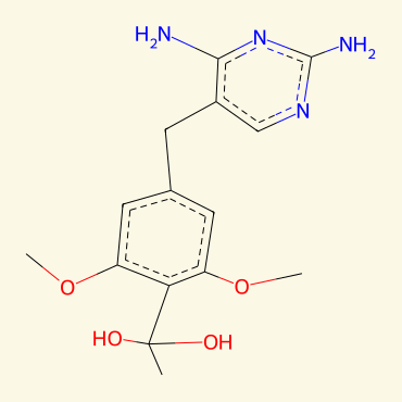 COc1cc(Cc2cnc(N)nc2N)cc(OC)c1C(C)(O)O